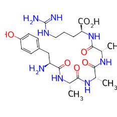 C[C@H](NC(=O)[C@H](C)NC(=O)[C@@H](N)Cc1ccc(O)cc1)C(=O)N[C@@H](C)C(=O)N[C@@H](CCCNC(=N)N)C(=O)O